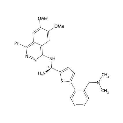 COc1cc2c(N[C@H](N)c3ccc(-c4ccccc4CN(C)C)s3)nnc(C(C)C)c2cc1OC